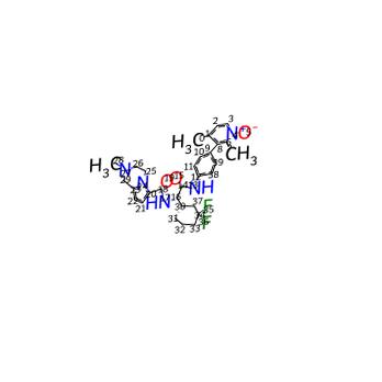 Cc1cc[n+]([O-])c(C)c1-c1ccc(NC(=O)[C@@H](NC(=O)c2ccc3n2CCN(C)C3)[C@H]2CCCC(F)(F)C2)cc1